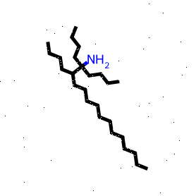 CCCCCCCCCCCCC(CCCC)C(N)(CCCC)CCCC